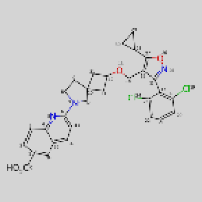 O=C(O)c1ccc2nc(N3CCC4(CC(OCc5c(-c6c(Cl)cccc6Cl)noc5C5CC5)C4)C3)ccc2c1